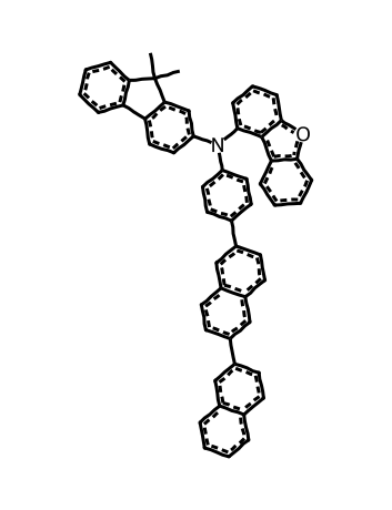 CC1(C)c2ccccc2-c2ccc(N(c3ccc(-c4ccc5cc(-c6ccc7ccccc7c6)ccc5c4)cc3)c3cccc4oc5ccccc5c34)cc21